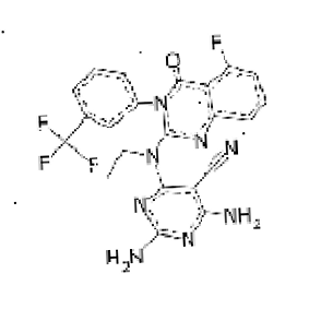 CCN(c1nc(N)nc(N)c1C#N)c1nc2cccc(F)c2c(=O)n1-c1cccc(C(F)(F)F)c1